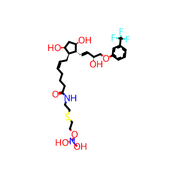 O=C(CCC/C=C\C[C@@H]1[C@@H](/C=C/[C@@H](O)COc2cccc(C(F)(F)F)c2)[C@H](O)C[C@@H]1O)NCCSCCON(O)O